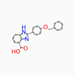 O=C(O)c1cccc2[nH]c(-c3ccc(OCc4ccccc4)cc3)nc12